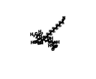 CC(C)C[C@H](NC(=O)[C@H](CCCNC(=N)N[N+](=O)[O-])NC(=O)CCCCCCCCCCC#N)B(O)O